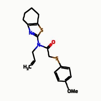 C=CCN(C(=O)CSc1ccc(OC)cc1)c1nc2c(s1)CCCC2